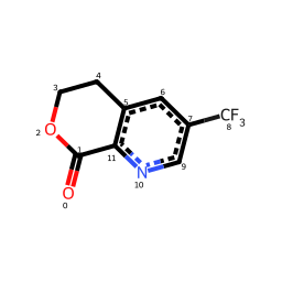 O=C1OCCc2cc(C(F)(F)F)cnc21